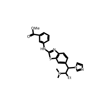 CCC(C(c1ccc2nc(Nc3cccc(C(=O)OC)c3)sc2c1)n1ccnc1)N(C)C